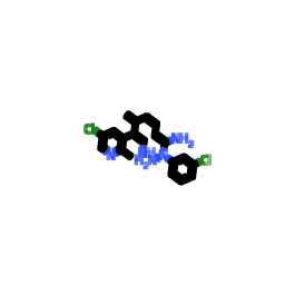 C=C(/C=C\C=C(/N)N(N)c1cccc(Cl)c1)/C(=C/N)c1cc(Cl)cnc1C